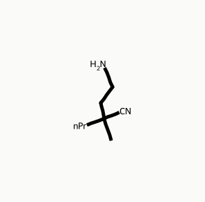 CCCC(C)(C#N)CCN